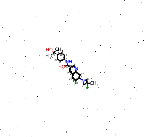 CC1(F)CN(c2cc3ncc(C(O)N[C@H]4CC[C@H](C(C)(C)O)CC4)cc3cc2F)C1